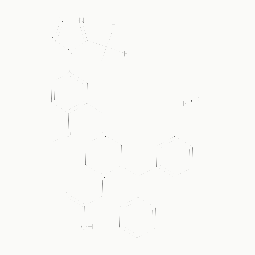 COc1ccc(-n2nnnc2C(F)(F)F)cc1CN1CCN(CC(=O)O)C(C(c2ccccc2)c2ccccc2)C1.Cl.Cl